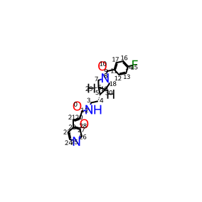 O=C(NCC[C@@H]1[C@H]2CN(C(=O)c3ccc(F)cc3)C[C@@H]12)c1cc2ccncc2o1